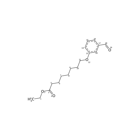 CCOC(=O)CCCCCCCOc1cccc(C=O)c1